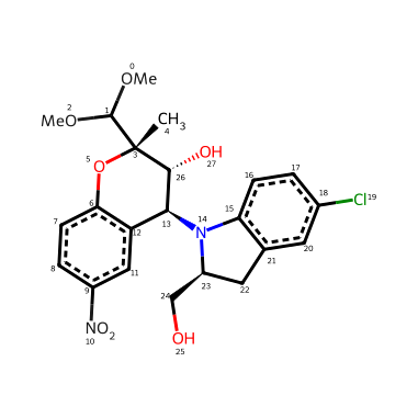 COC(OC)[C@@]1(C)Oc2ccc([N+](=O)[O-])cc2[C@H](N2c3ccc(Cl)cc3C[C@H]2CO)[C@H]1O